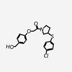 O=C(COc1ccc(CO)cc1)N1CCC(Sc2ccc(Cl)cc2)C1